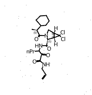 C=CCNC(=O)C(=O)C(CCC)NC(=O)[C@@H]1[C@@H]2[C@H](CN1C(=O)[C@@H](C)C1CCCCC1)C2(Cl)Cl